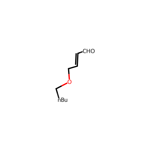 CCCCCOCC=CC=O